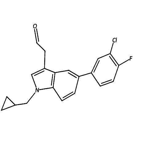 O=CCc1cn(CC2CC2)c2ccc(-c3ccc(F)c(Cl)c3)cc12